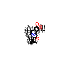 [2H]C([2H])([2H])Oc1cc2c(cc1OC)C([2H])([2H])C([2H])([2H])N1C2([2H])CC(=O)C(C([2H])([2H])C([2H])(C([2H])([2H])[2H])C([2H])([2H])C)C1([2H])[2H]